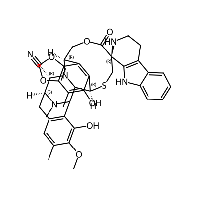 COc1c(C)cc2c(c1O)C1C3[C@@H]4SC[C@]5(NCCc6c5[nH]c5ccccc65)C(=O)OC[C@@H](c5c6c(c(C)c(O)c54)OCO6)N3[C@@H](C#N)[C@H](C2)N1C